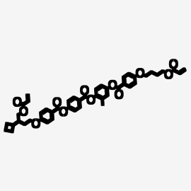 C=CC(=O)OCCCCOc1ccc(C(=O)Oc2ccc(OC(=O)c3ccc(OC(=O)c4ccc(OCCC(COC(=O)C=C)C5CCC5)cc4)cc3)c(C)c2)cc1